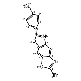 CC(C)c1nc2cc3nc(-c4ccc(C(C)(C)C)cc4)oc3cc2o1